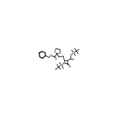 CC(O[Si](C)(C)C(C)(C)C)C1C(=O)N([Si](C)(C)C(C)(C)C)C1C[CH]C1(C(=O)OCc2ccccc2)SCCS1